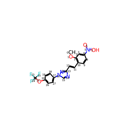 COc1cc([N+](=O)O)ccc1/C=C/c1ncn(-c2ccc(OC(F)(F)F)cc2)n1